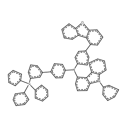 c1ccc(-n2c3ccccc3c3c(N(c4ccc(-c5cccc([Si](c6ccccc6)(c6ccccc6)c6ccccc6)c5)cc4)c4ccc(-c5cccc6oc7ccccc7c56)cc4)cccc32)cc1